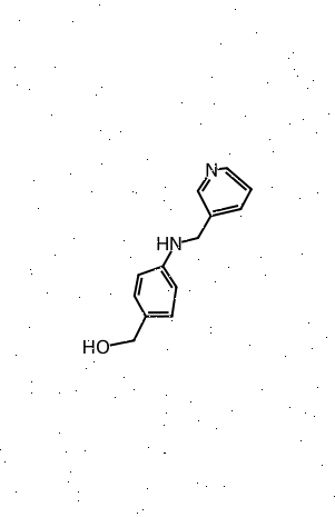 OCc1ccc(NCc2cccnc2)cc1